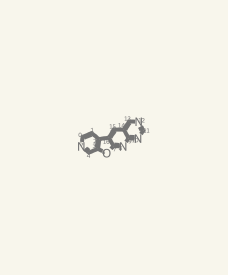 c1cc2c(cn1)oc1nc3ncncc3cc12